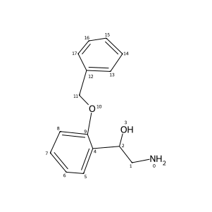 NCC(O)c1ccccc1OCc1ccccc1